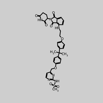 CC(C)(c1ccc(OCCNc2cccc3c2C(=O)N(C2CCC(=O)NC2=O)C3=O)cc1)c1ccc(OCc2ccnc(NS(C)(=O)=O)n2)cc1